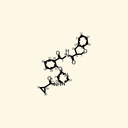 O=C(CNC(=O)C1COc2ccccc2C1)c1ccccc1Oc1cc(NC(=O)C2CC2)ncn1